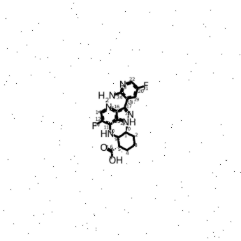 C[C@H]1CCC[C@H](C(=O)O)C1Nc1c(F)cnc2c(-c3cc(F)cnc3N)n[nH]c12